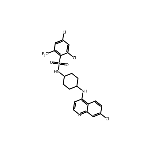 O=S(=O)(NC1CCC(Nc2ccnc3cc(Cl)ccc23)CC1)c1c(Cl)cc(Cl)cc1C(F)(F)F